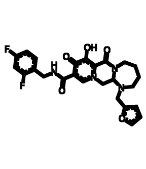 O=C(NCc1ccc(F)cc1F)c1cn2c(c(O)c1=O)C(=O)N1CCCCN(Cc3ccco3)C1C2